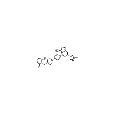 Cn1cc(-c2cc(-c3ccc(N4CCN(Cc5c(F)cccc5F)CC4)cc3)n3c(C#N)cnc3c2)cn1